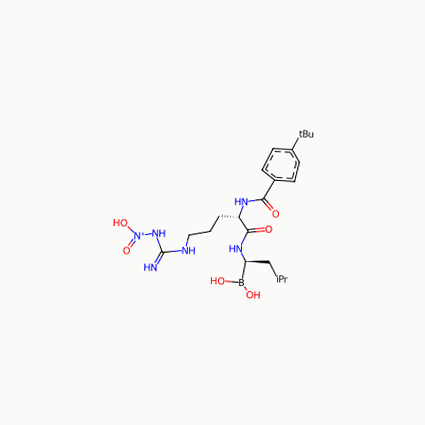 CC(C)C[C@H](NC(=O)[C@H](CCCNC(=N)N[N+](=O)O)NC(=O)c1ccc(C(C)(C)C)cc1)B(O)O